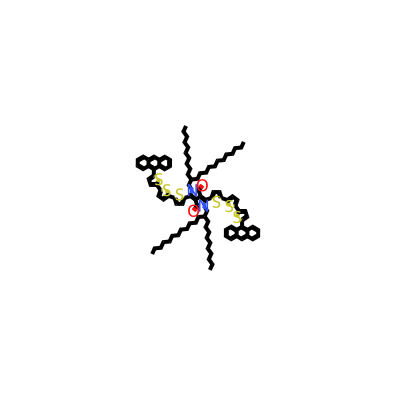 CCCCCCCCCCCCC(CCCCCCCCCC)CN1C(=O)C2=C(c3ccc(-c4ccc(-c5ccc(-c6c7ccccc7cc7ccccc67)s5)s4)s3)N(CC(CCCCCCCCCC)CCCCCCCCCCCC)C(=O)C2=C1c1ccc(-c2ccc(-c3ccc(-c4c5ccccc5cc5ccccc45)s3)s2)s1